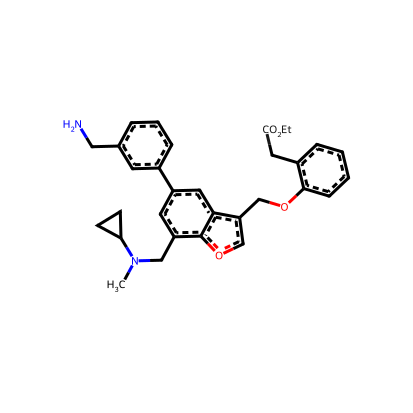 CCOC(=O)Cc1ccccc1OCc1coc2c(CN(C)C3CC3)cc(-c3cccc(CN)c3)cc12